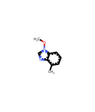 COn1[c]nc2c(C)cccc21